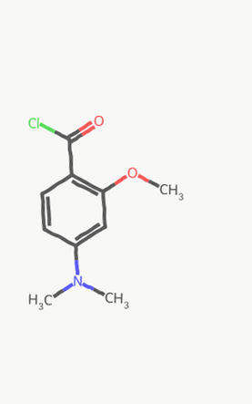 COc1cc(N(C)C)ccc1C(=O)Cl